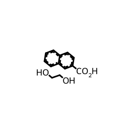 O=C(O)c1ccc2ccccc2c1.OCCO